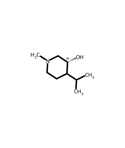 CC(C)C1CCN(C)C[C@@H]1O